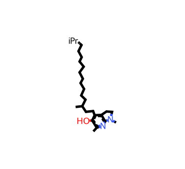 Cc1nc2c(c(CCC(C)CCCCCCCCCCCC(C)C)c1O)CCN2C